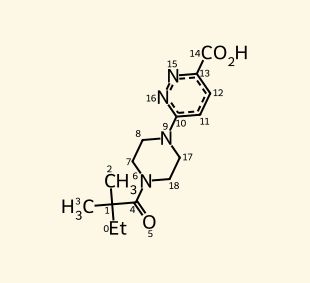 CCC(C)(C)C(=O)N1CCN(c2ccc(C(=O)O)nn2)CC1